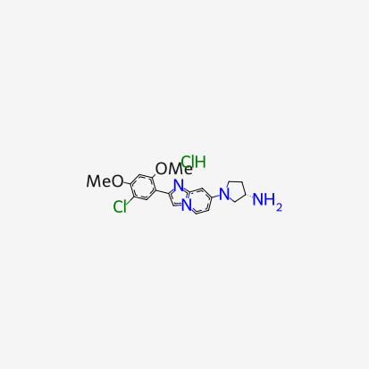 COc1cc(OC)c(-c2cn3ccc(N4CC[C@H](N)C4)cc3n2)cc1Cl.Cl